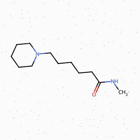 [CH2]NC(=O)CCCCCN1CCCCC1